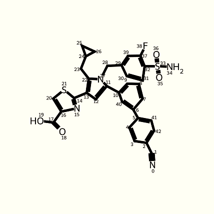 N#Cc1ccc(-c2cccc(-c3cc(-c4nc(C(=O)O)cs4)c(CC4CC4)n3Cc3ccc(S(N)(=O)=O)c(F)c3)c2)cc1